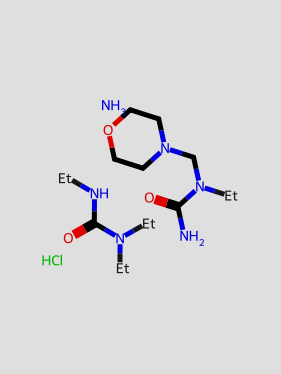 CCN(CN1CCOCC1)C(N)=O.CCNC(=O)N(CC)CC.Cl.N